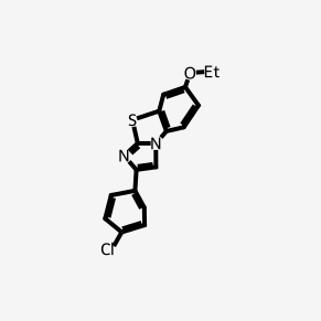 CCOc1ccc2c(c1)sc1nc(-c3ccc(Cl)cc3)cn12